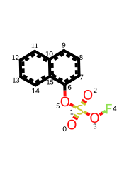 O=S(=O)(OF)Oc1cccc2ccccc12